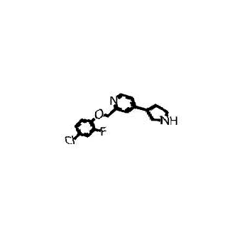 Fc1cc(Cl)ccc1OCc1cc(C2CCNC2)ccn1